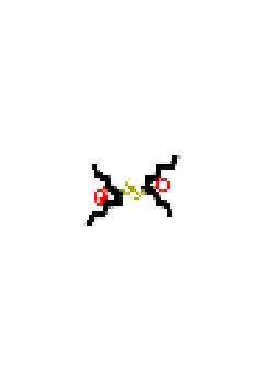 CCCc1cc(SSc2cc(CCC)oc2CCC)c(CCC)o1